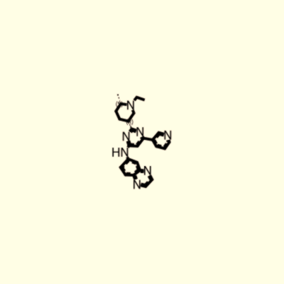 CCN1C[C@H](c2nc(Nc3ccc4nccnc4c3)cc(-c3cccnc3)n2)CC[C@@H]1C